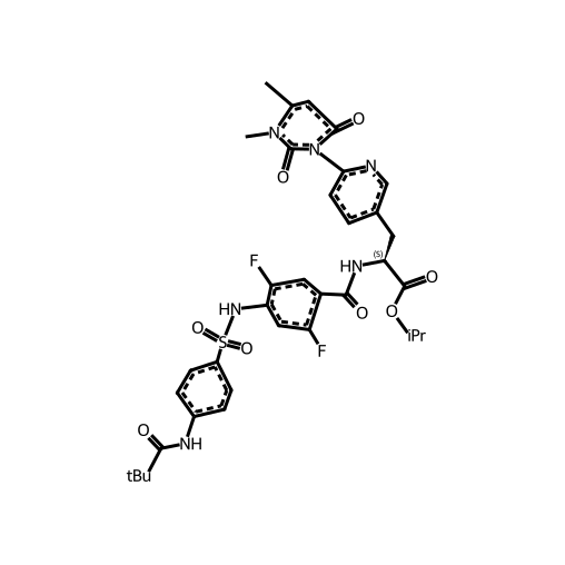 Cc1cc(=O)n(-c2ccc(C[C@H](NC(=O)c3cc(F)c(NS(=O)(=O)c4ccc(NC(=O)C(C)(C)C)cc4)cc3F)C(=O)OC(C)C)cn2)c(=O)n1C